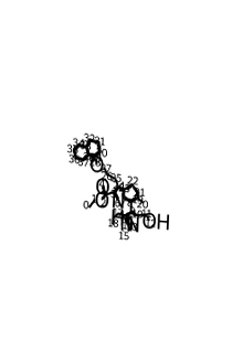 CCOC(=O)c1[nH]c2c(-c3c(CO)nn(C)c3CC)c(C)ccc2c1CCCOc1cccc2ccccc12